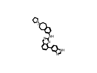 c1cc(-c2ccc3[nH]cnc3c2)c2nc(Nc3ccc4c(c3)CC[C@@H](N3CCCC3)CC4)ncc2c1